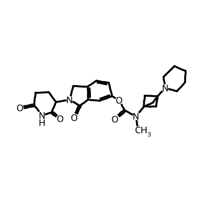 CN(C(=O)Oc1ccc2c(c1)C(=O)N(C1CCC(=O)NC1=O)C2)C12CC(N3CCCCC3)(C1)C2